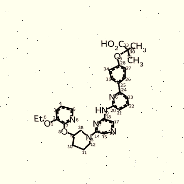 CCOc1cccnc1OC1CCCN(c2cncc(Nc3cccc(-c4ccc(OC(C)(C)C(=O)O)cc4)n3)n2)C1